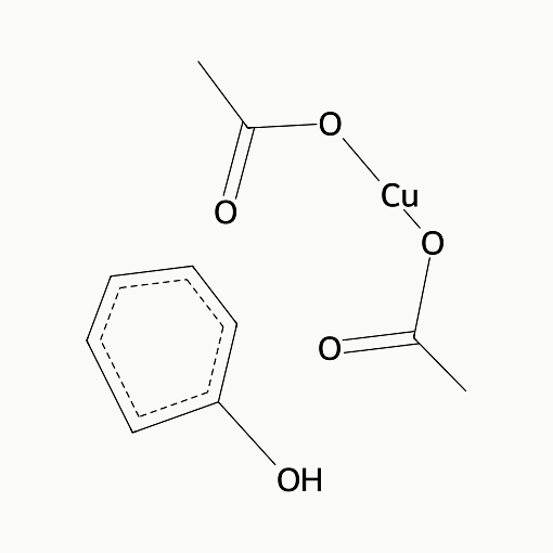 CC(=O)[O][Cu][O]C(C)=O.Oc1ccccc1